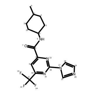 CC1CCC(NC(=O)c2cc(C(F)(F)F)nc(-n3ccnc3)n2)CC1